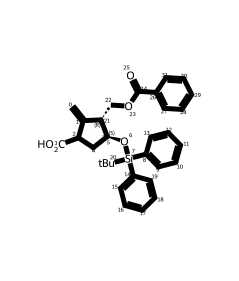 C=C1C(C(=O)O)C[C@H](O[Si](c2ccccc2)(c2ccccc2)C(C)(C)C)[C@H]1COC(=O)c1ccccc1